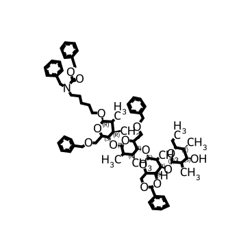 CCC1O[C@@H](O[C@@H]2C(C)[C@@H](O[C@H]3C(COCc4ccccc4)O[C@@H](O[C@@H]4C(COCc5ccccc5)O[C@@H](OCCCCCN(Cc5ccccc5)C(=O)OCc5ccccc5)C(C)[C@H]4C)C(C)[C@H]3C)OC3COC(c4ccccc4)O[C@@H]32)C(C)[C@@H](O)[C@H]1C